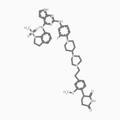 COc1cc(CCN2CCN(C3CCN(c4ccc(Nc5nc(Nc6cccc7c6N(S(C)(=O)=O)CC7)c6cc[nH]c6n5)cc4F)CC3)CC2)ccc1C1CCC(=O)NC1=O